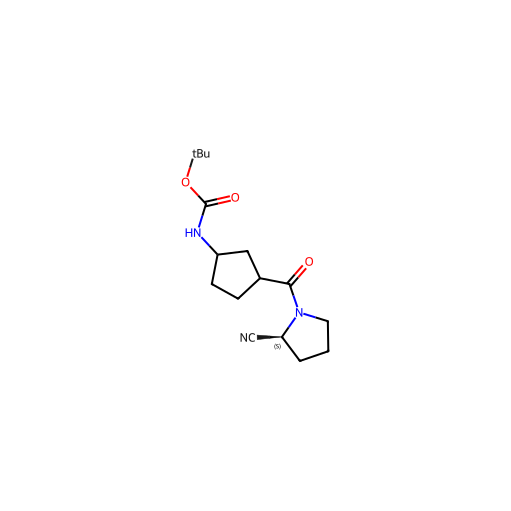 CC(C)(C)OC(=O)NC1CCC(C(=O)N2CCC[C@H]2C#N)C1